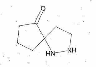 O=C1CCCC12CCNN2